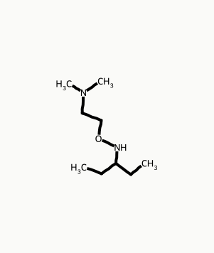 CCC(CC)NOCCN(C)C